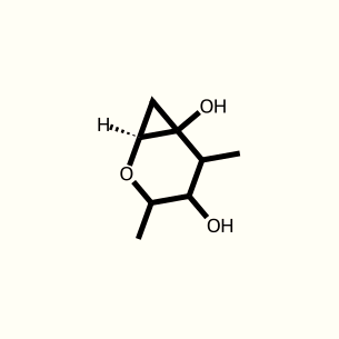 CC1O[C@H]2CC2(O)C(C)C1O